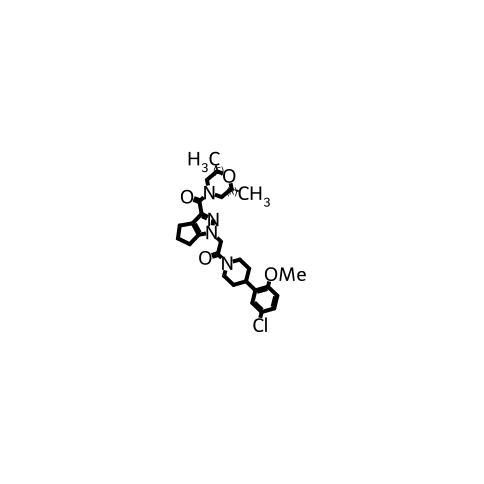 COc1ccc(Cl)cc1C1CCN(C(=O)Cn2nc(C(=O)N3C[C@@H](C)O[C@@H](C)C3)c3c2CCC3)CC1